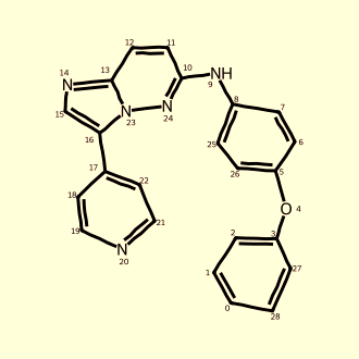 c1ccc(Oc2ccc(Nc3ccc4ncc(-c5ccncc5)n4n3)cc2)cc1